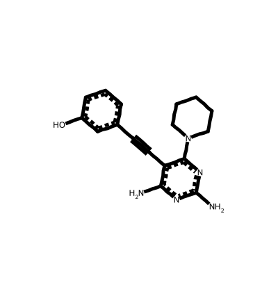 Nc1nc(N)c(C#Cc2cccc(O)c2)c(N2CCCCC2)n1